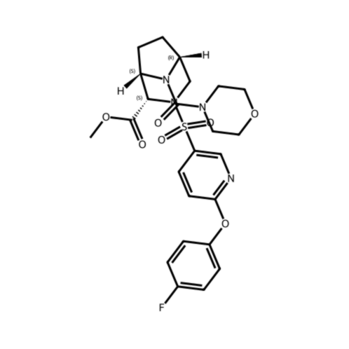 COC(=O)[C@@H]1[C@@H]2CC[C@H](CN1S(=O)(=O)c1ccc(Oc3ccc(F)cc3)nc1)N2C(=O)N1CCOCC1